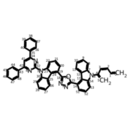 C=C/C=C\C(=C)n1c2ccccc2c2c(-c3nnc(-c4cccc5c4c4ccccc4n5-c4nc(-c5ccccc5)cc(-c5ccccc5)n4)o3)cccc21